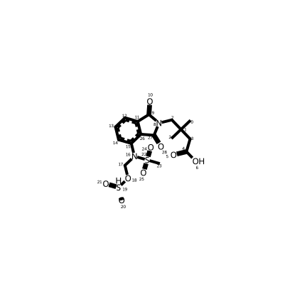 CC(C)(CC(=O)O)CN1C(=O)c2cccc(N(CO[SH](=O)=O)S(C)(=O)=O)c2C1=O